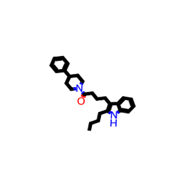 CCCCc1[nH]c2ccccc2c1CCCC(=O)N1CCC(c2ccccc2)CC1